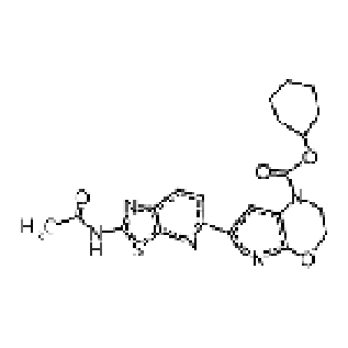 CC(=O)Nc1nc2ccc(-c3cnc4c(c3)N(C(=O)OC3CCCCC3)CCO4)nc2s1